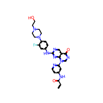 C=CC(=O)Nc1ccnc(-n2cnc(=O)c3cnc(Nc4ccc(N5CCN(CCO)CC5)c(F)c4)nc32)c1